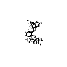 CC(C)(C)[Si](C)(C)Oc1ccccc1C[C@H]1OP(Cl)N2CCC[C@@H]12